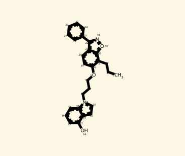 CCCc1c(OCCCn2ccc3c(O)cccc32)ccc2c(-c3ccccc3)noc12